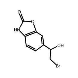 O=c1[nH]c2ccc(C(O)CBr)cc2o1